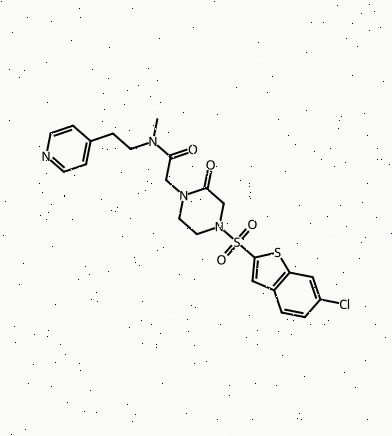 CN(CCc1ccncc1)C(=O)CN1CCN(S(=O)(=O)c2cc3ccc(Cl)cc3s2)CC1=O